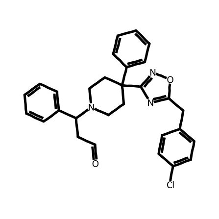 O=CCC(c1ccccc1)N1CCC(c2ccccc2)(c2noc(Cc3ccc(Cl)cc3)n2)CC1